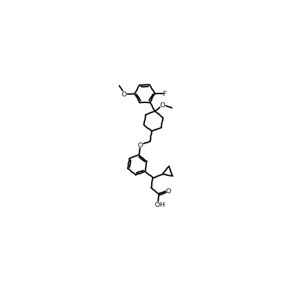 COc1ccc(F)c(C2(OC)CCC(COc3cccc(C(CC(=O)O)C4CC4)c3)CC2)c1